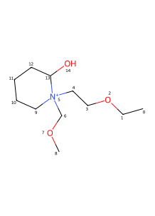 CCOCC[N+]1(COC)CCCCC1O